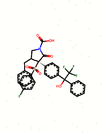 O=C(O)N1CC(Cc2ccccc2)[C@](c2ccc(C(O)(c3ccccc3)C(F)(F)F)cc2)(S(=O)(=O)c2ccc(F)cc2)C1=O